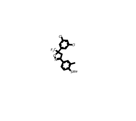 CSc1ccc(C2=NOC(c3cc(Cl)cc(Cl)c3)(C(F)(F)F)C2)cc1C